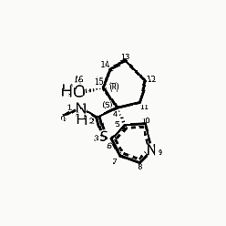 CNC(=S)[C@]1(c2cccnc2)CCCC[C@H]1O